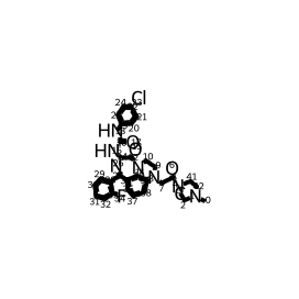 CN1CCN(C(=O)CN2CCN3C(=O)C(NC(=O)Nc4ccc(Cl)cc4)N=C(c4ccccc4F)c4cccc2c43)CC1